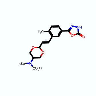 CC(C)(C)N(C(=O)O)C1COC(/C=C/c2cc(-c3n[nH]c(=O)o3)ccc2C(F)(F)F)OC1